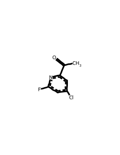 CC(=O)c1cc(Cl)cc(F)n1